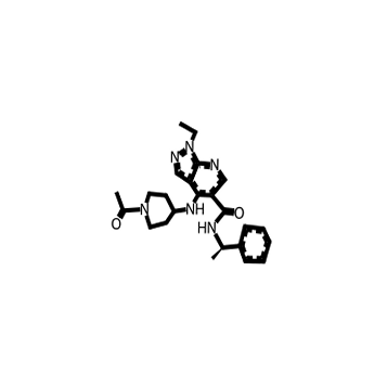 CCn1ncc2c(NC3CCN(C(C)=O)CC3)c(C(=O)N[C@H](C)c3ccccc3)cnc21